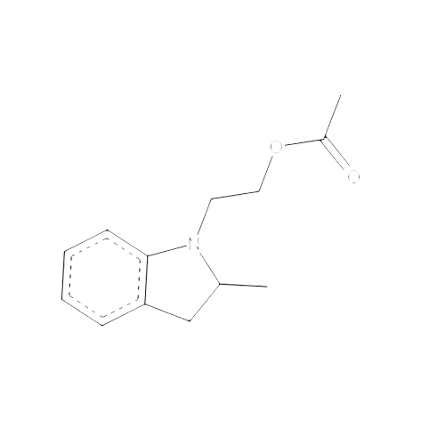 CC(=O)OCCN1c2ccccc2CC1C